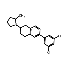 CC1CCCN1C1CCc2cc(-c3cc(Cl)cc(Cl)c3)ccc2C1